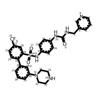 O=C(NCc1cccnc1)Nc1ccc(NS(=O)(=O)c2cc(C(F)(F)F)ccc2-c2cccc(N3CCNCC3)c2)cc1